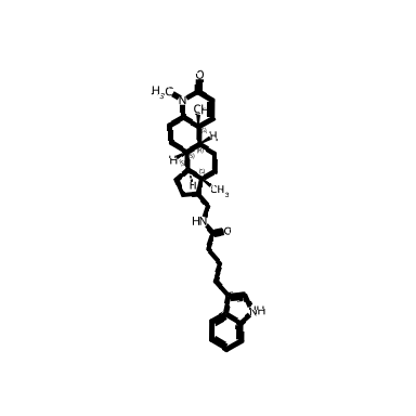 CN1C(=O)C=C[C@@]2(C)C1CC[C@@H]1[C@H]2CC[C@]2(C)C(CNC(=O)CCCc3c[nH]c4ccccc34)CC[C@@H]12